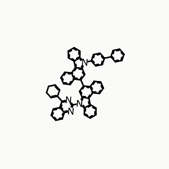 C1=CC(c2nc(-n3c4ccccc4c4c5ccccc5c(-c5cc6c(c7ccccc57)c5ccccc5n6-c5ccc(-c6ccccc6)cc5)cc43)nc3ccccc23)=CCC1